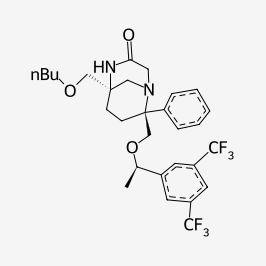 CCCCOC[C@]12CC[C@@](CO[C@H](C)c3cc(C(F)(F)F)cc(C(F)(F)F)c3)(c3ccccc3)N(CC(=O)N1)C2